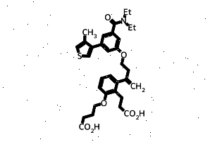 C=C(CCOc1cc(C(=O)N(CC)CC)cc(-c2cscc2C)c1)c1cccc(OCCCC(=O)O)c1CCC(=O)O